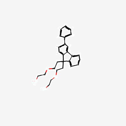 OCCOCCC1(CCOCCO)c2ccccc2-c2cc(-c3ccccc3)ccc21